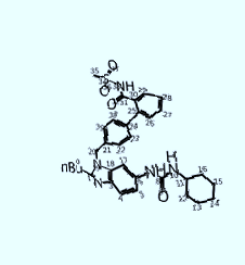 CCCCc1nc2ccc(NC(=O)NC3CCCCC3)cc2n1Cc1ccc(-c2ccccc2C(=O)NS(C)(=O)=O)cc1